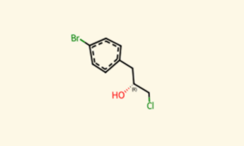 O[C@@H](CCl)Cc1ccc(Br)cc1